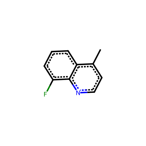 Cc1ccnc2c(F)cccc12